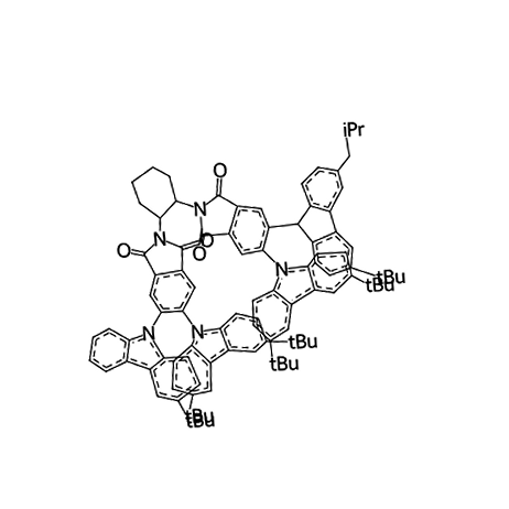 CC(C)Cc1ccc2c(c1)-c1cc(C(C)(C)C)ccc1C2c1cc2c(cc1-n1c3ccc(C(C)(C)C)cc3c3cc(C(C)(C)C)ccc31)C(=O)N(C1CCCCC1N1C(=O)c3cc(-n4c5ccccc5c5cc(C(C)(C)C)ccc54)c(-n4c5ccc(C(C)(C)C)cc5c5cc(C(C)(C)C)ccc54)cc3C1=O)C2=O